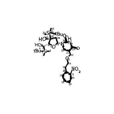 CC(C)(C)[Si](C)(C)C(O)[C@H]1O[C@@H](n2cc(COCCc3ccccc3[N+](=O)[O-])c(=O)[nH]c2=O)C[C@@]1(O)[Si](C)(C)C(C)(C)C